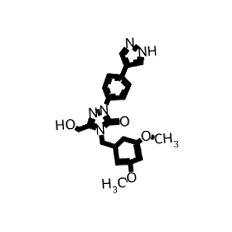 COC1=CC(Cn2c(CO)nn(-c3ccc(-c4cn[nH]c4)cc3)c2=O)CC(OC)=C1